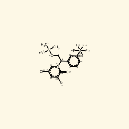 CC(C)(C)[Si](C)(C)OCC(c1cccc(S(F)(F)(F)(F)F)c1)n1cc(Cl)cc(Br)c1=O